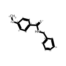 COc1ccc(C(=S)NCc2ccccc2)cc1